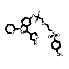 Cc1ccc(S(=O)(=O)OCCOCC(F)(F)Oc2ccc3c(c2)c(-c2cn[nH]c2)nn3C2CCCCO2)cc1